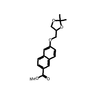 COC(=O)c1ccc2cc(OCC3COC(C)(C)O3)ccc2c1